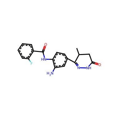 CC1CC(=O)NN=C1c1ccc(NC(=O)c2ccccc2F)c(N)c1